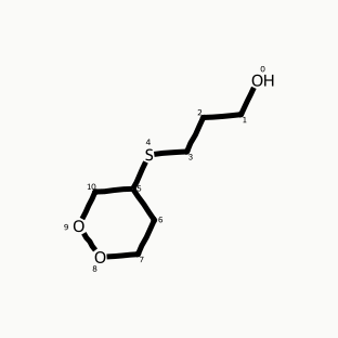 OCCCSC1CCOOC1